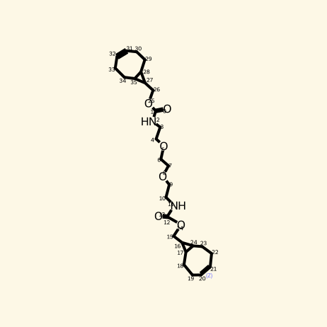 O=C(NCCOCCOCCNC(=O)OCC1C2CC/C=C\CCC21)OCC1C2CCC#CCCC21